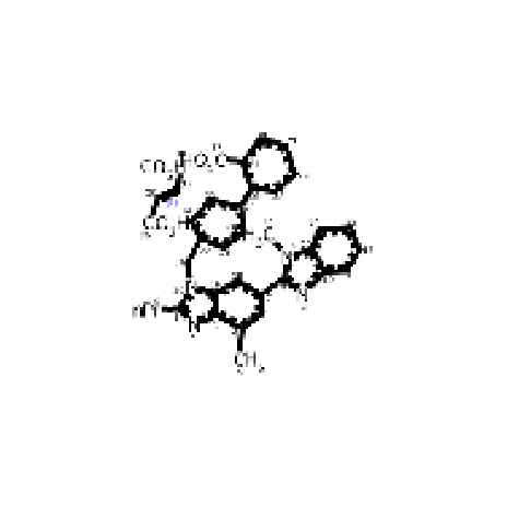 CCCc1nc2c(C)cc(-c3nc4ccccc4n3C)cc2n1Cc1ccc(-c2ccccc2C(=O)O)cc1.O=C(O)/C=C/C(=O)O